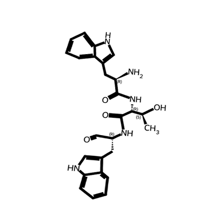 C[C@H](O)[C@@H](NC(=O)[C@H](N)Cc1c[nH]c2ccccc12)C(=O)N[C@@H]([C]=O)Cc1c[nH]c2ccccc12